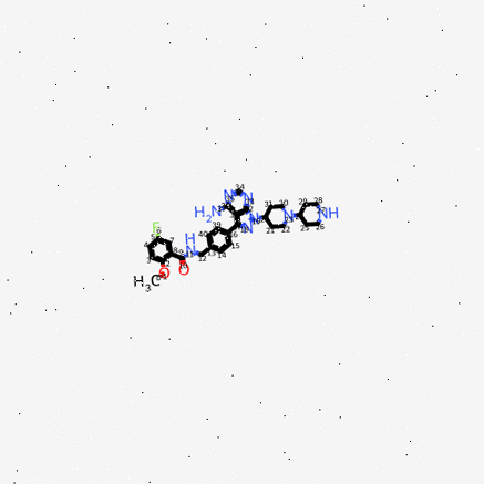 COc1ccc(F)cc1C(=O)NCc1ccc(-c2nn(C3CCN(C4CCNCC4)CC3)c3ncnc(N)c23)cc1